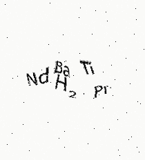 [BaH2].[Nd].[Pr].[Ti]